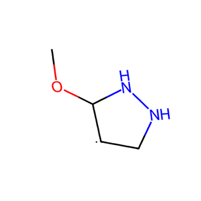 COC1[CH]CNN1